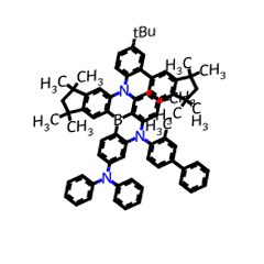 Cc1cc2c3c(c1)N(c1ccc(C(C)(C)C)cc1-c1ccc4c(c1)C(C)(C)CC4(C)C)c1cc4c(cc1B3c1ccc(N(c3ccccc3)c3ccccc3)cc1N2c1ccc(-c2ccccc2)cc1C)C(C)(C)CC4(C)C